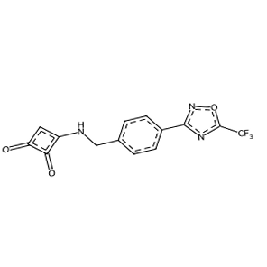 O=c1cc(NCc2ccc(-c3noc(C(F)(F)F)n3)cc2)c1=O